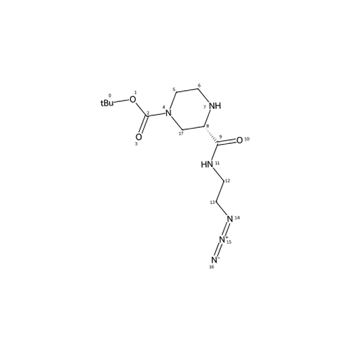 CC(C)(C)OC(=O)N1CCN[C@H](C(=O)NCCN=[N+]=[N-])C1